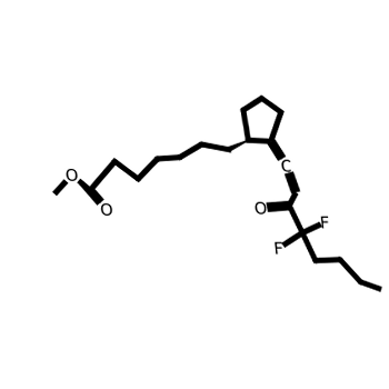 CCCCC(F)(F)C(=O)C=C=C1CCC[C@@H]1CCCCCCC(=O)OC